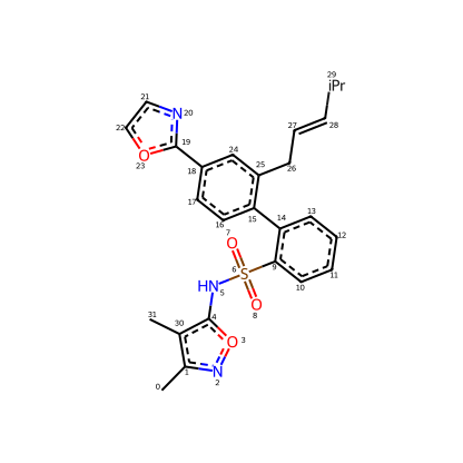 Cc1noc(NS(=O)(=O)c2ccccc2-c2ccc(-c3ncco3)cc2CC=CC(C)C)c1C